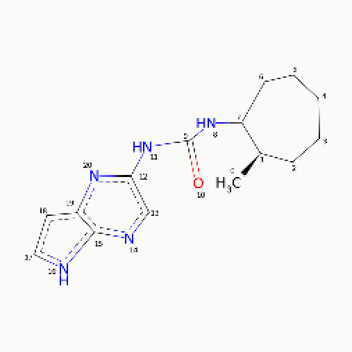 C[C@@H]1CCCCCC1NC(=O)Nc1cnc2[nH]ccc2n1